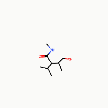 CNC(=O)C(C(C)C)C(C)CO